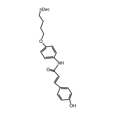 CCCCCCCCCCCCCCOc1ccc(NC(=O)C=Cc2ccc(O)cc2)cc1